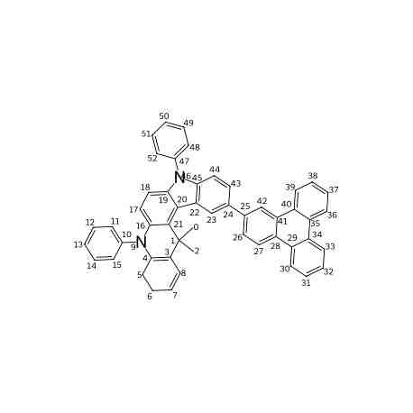 CC1(C)C2=C(CCC=C2)N(c2ccccc2)c2ccc3c(c21)c1cc(-c2ccc4c5ccccc5c5ccccc5c4c2)ccc1n3-c1ccccc1